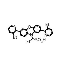 CCc1cccnc1-c1ccc2c(c1)Oc1ccc(-c3ncccc3CC)cc1N2C(CC)S(=O)(=O)O